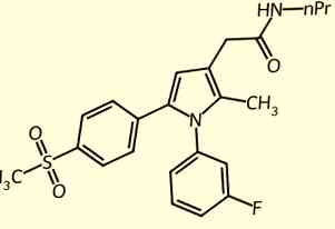 CCCNC(=O)Cc1cc(-c2ccc(S(C)(=O)=O)cc2)n(-c2cccc(F)c2)c1C